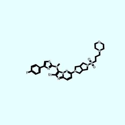 CCc1nc2ccc(N3CC4CN(S(=O)(=O)CCCN5CCOCC5)CC4C3)nn2c1N(C)c1nc(-c2ccc(F)cc2)cs1